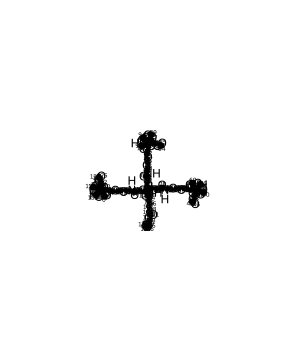 CC(=O)NC1C(OCCOCCOCCNC(=O)CCOCC(COCCC(=O)NCCOCCOCCOC2OC(COC(C)=O)C(OC(C)=O)C(OC(C)=O)C2NC(C)=O)(COCCC(=O)NCCOCCOCCOC2OC(COC(C)=O)C(OC(C)=O)C(OC(C)=O)C2NC(C)=O)NC(=O)CCCCCCC(=O)OCc2ccccc2)OC(COC(C)=O)C(OC(C)=O)C1OC(C)=O